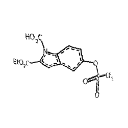 CCOC(=O)c1cc2cc(OS(=O)(=O)C(F)(F)F)ccc2n1C(=O)O